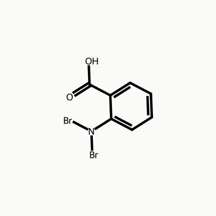 O=C(O)c1ccccc1N(Br)Br